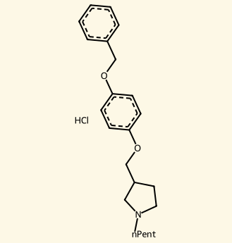 CCCCCN1CCC(COc2ccc(OCc3ccccc3)cc2)C1.Cl